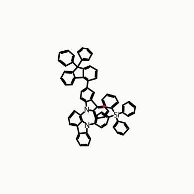 c1ccc(C2(c3ccccc3)c3ccccc3-c3c(-c4ccc5c(c4)c4ccccc4n5-c4cccc5c6ccccc6n(-c6ccc([Si](c7ccccc7)(c7ccccc7)c7ccccc7)cc6)c45)cccc32)cc1